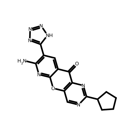 Nc1nc2oc3cnc(C4CCCC4)nc3c(=O)c2cc1-c1nnn[nH]1